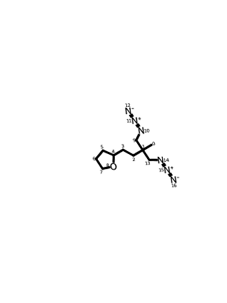 CC(CCC1CCCO1)(CN=[N+]=[N-])CN=[N+]=[N-]